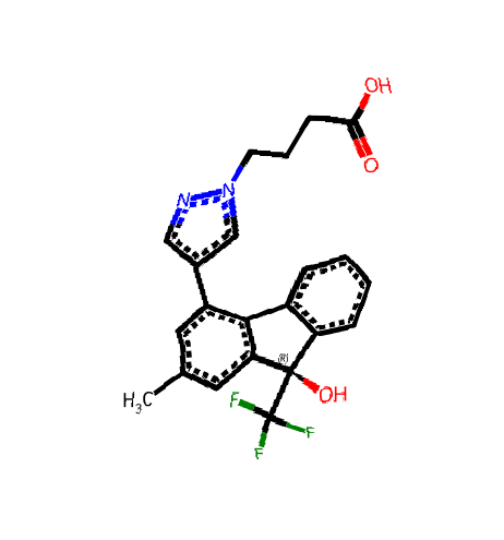 Cc1cc(-c2cnn(CCCC(=O)O)c2)c2c(c1)[C@@](O)(C(F)(F)F)c1ccccc1-2